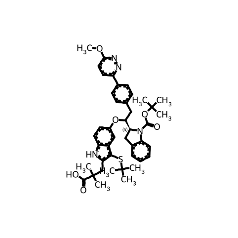 COc1ccc(-c2ccc(CC(Oc3ccc4[nH]c(CC(C)(C)C(=O)O)c(SC(C)(C)C)c4c3)[C@@H]3Cc4ccccc4N3C(=O)OC(C)(C)C)cc2)nn1